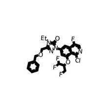 CCn1c(COCc2ccccc2)nn(-c2cc(OC(CF)C(F)F)c3c(Cl)ncc(F)c3c2)c1=O